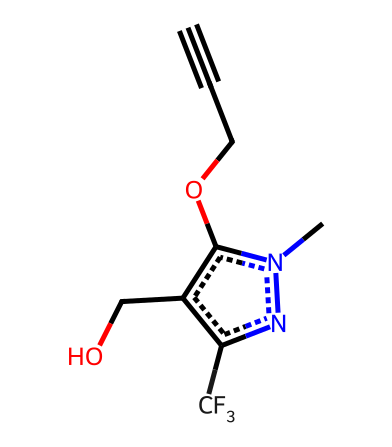 C#CCOc1c(CO)c(C(F)(F)F)nn1C